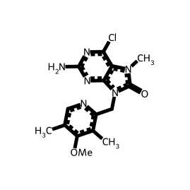 COc1c(C)cnc(Cn2c(=O)n(C)c3c(Cl)nc(N)nc32)c1C